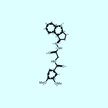 COc1ccc(C(=O)NCC(=O)N/N=C2\CCc3sc4ccccc4c32)cc1OC